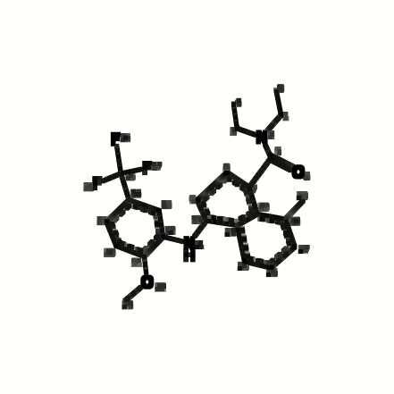 CCN(CC)C(=O)c1ccc(Nc2cc(C(F)(F)F)ccc2OC)c2cccc(C)c12